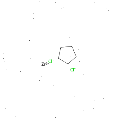 C1CCCC1.[Cl-].[Cl-].[Zr+2]